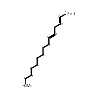 [CH2]OCCCCCCCC/C=C/C/C=C/CCCCC